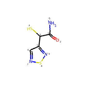 NC(=O)C(S)c1cnsn1